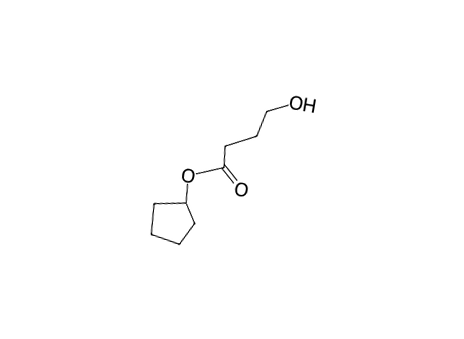 O=C(CCCO)OC1CCCC1